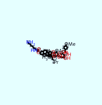 COc1ccc(C(=O)OC2C(OC3C(O)COC(O[C@H]4C[C@H]5[C@@H]6CC=C7C[C@@H](OC(=O)NCCCCCCN)CC[C@]7(C)C6CC[C@]5(C)[C@@]4(O)[C@H](C)C(=O)CCC(C)C)C3OC(C)=O)OCC(O)C2O)cc1